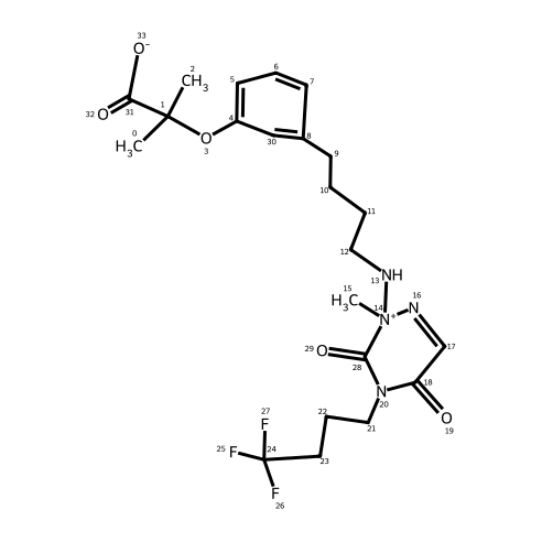 CC(C)(Oc1cccc(CCCCN[N+]2(C)N=CC(=O)N(CCCC(F)(F)F)C2=O)c1)C(=O)[O-]